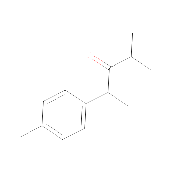 Cc1ccc(C(C)C(=O)C(C)C)cc1